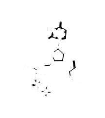 C=CCN.O=c1ccn([C@H]2C[C@H](O)[C@@H](COP(=O)(O)OP(=O)(O)OP(=O)(O)O)O2)c(=O)[nH]1